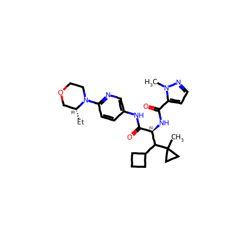 CC[C@@H]1COCCN1c1ccc(NC(=O)[C@@H](NC(=O)c2ccnn2C)C(C2CCC2)C2(C)CC2)cn1